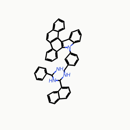 NC(NC(NCc1cccc(-n2c3ccccc3c3c4c5ccccc5ccc4c4ccccc4c32)c1)c1cccc2ccccc12)c1ccccc1